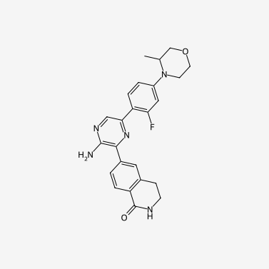 CC1COCCN1c1ccc(-c2cnc(N)c(-c3ccc4c(c3)CCNC4=O)n2)c(F)c1